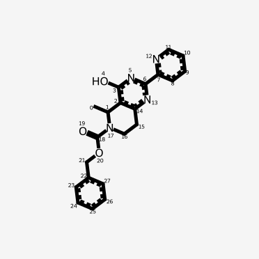 CC1c2c(O)nc(-c3ccccn3)nc2CCN1C(=O)OCc1ccccc1